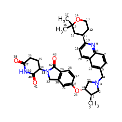 C[C@@H]1CN(Cc2ccc3nc([C@@H]4CCOC(C)(C)C4)ccc3c2)C[C@H]1Oc1ccc2c(c1)CN(C1CCC(=O)NC1=O)C2=O